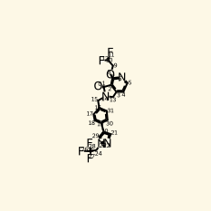 O=C1c2c(ccnc2OCC(F)F)CN1Cc1ccc(-c2cnn(CC(F)(F)F)c2)cc1